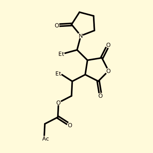 CCC(COC(=O)CC(C)=O)C1C(=O)OC(=O)C1C(CC)N1CCCC1=O